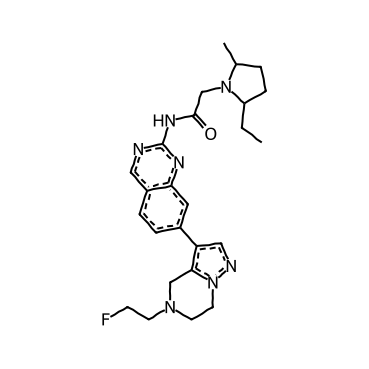 CCC1CCC(C)N1CC(=O)Nc1ncc2ccc(-c3cnn4c3CN(CCF)CC4)cc2n1